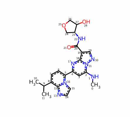 CNc1cc(-c2ccc(C(C)C)c3nccn23)nc2c(C(=O)N[C@H]3COCC3O)cnn12